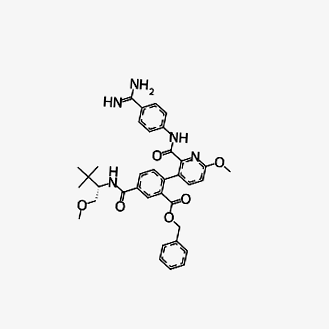 COC[C@@H](NC(=O)c1ccc(-c2ccc(OC)nc2C(=O)Nc2ccc(C(=N)N)cc2)c(C(=O)OCc2ccccc2)c1)C(C)(C)C